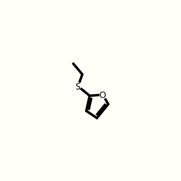 CCSc1ccco1